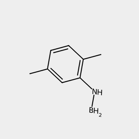 BNc1cc(C)ccc1C